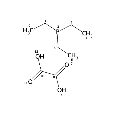 CCP(CC)CC.O=C(O)C(=O)O